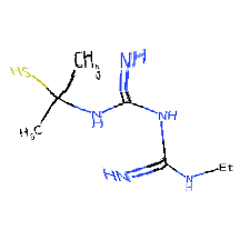 CCNC(=N)NC(=N)NC(C)(C)S